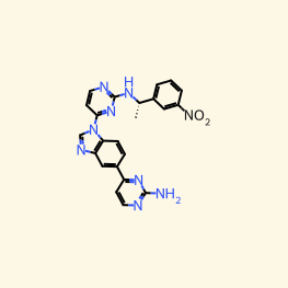 C[C@H](Nc1nccc(-n2cnc3cc(-c4ccnc(N)n4)ccc32)n1)c1cccc([N+](=O)[O-])c1